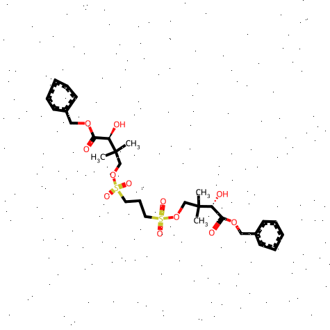 CC(C)(COS(=O)(=O)CCCS(=O)(=O)OCC(C)(C)[C@H](O)C(=O)OCc1ccccc1)[C@H](O)C(=O)OCc1ccccc1